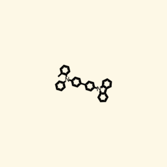 Cc1ccccc1N(c1ccccc1)c1ccc(-c2ccc(-n3c4ccccc4c4ccccc43)cc2)cc1